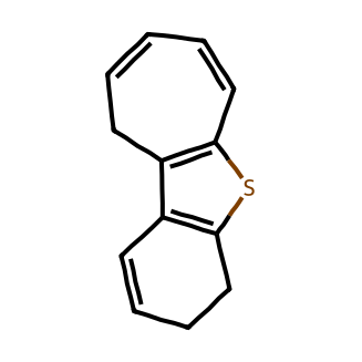 C1=CCc2c(sc3c2C=CCC3)C=C1